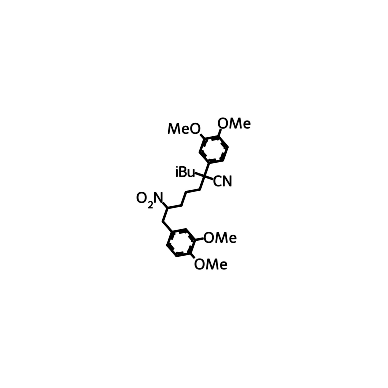 CCC(C)C(C#N)(CCCC(Cc1ccc(OC)c(OC)c1)[N+](=O)[O-])c1ccc(OC)c(OC)c1